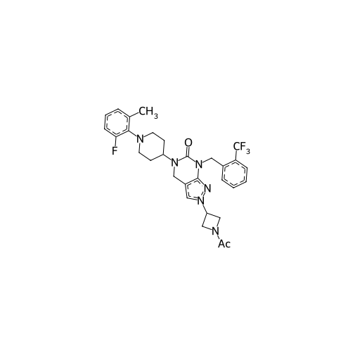 CC(=O)N1CC(n2cc3c(n2)N(Cc2ccccc2C(F)(F)F)C(=O)N(C2CCN(c4c(C)cccc4F)CC2)C3)C1